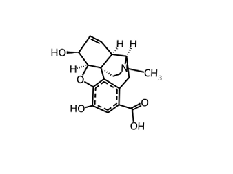 CN1CC[C@]23c4c5c(C(=O)O)cc(O)c4O[C@H]2[C@@H](O)C=C[C@H]3[C@H]1C5